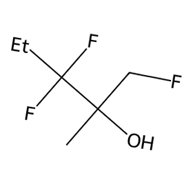 CCC(F)(F)C(C)(O)CF